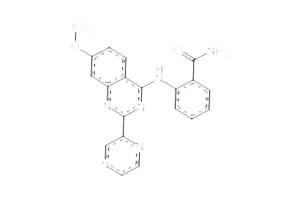 COc1ccc2c(Nc3ccccc3C(N)=O)nc(-c3cnccn3)nc2c1